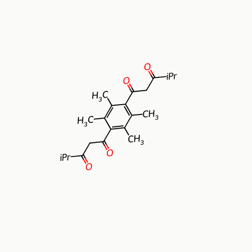 Cc1c(C)c(C(=O)CC(=O)C(C)C)c(C)c(C)c1C(=O)CC(=O)C(C)C